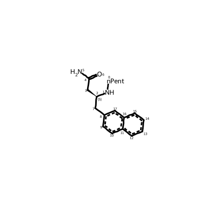 CCCCCN[C@H](CC(N)=O)Cc1ccc2ccccc2c1